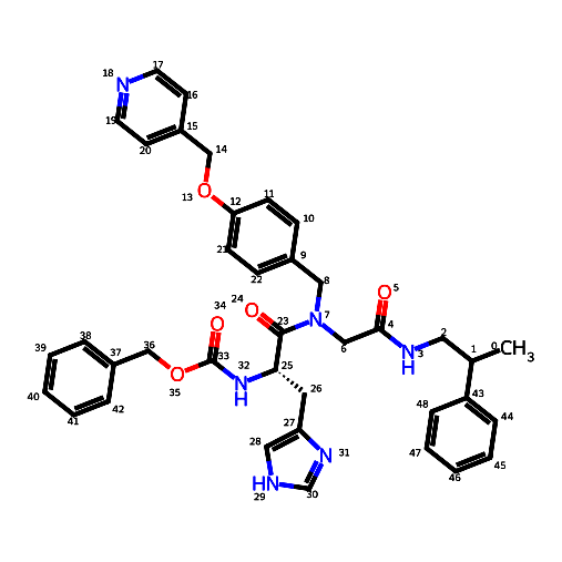 CC(CNC(=O)CN(Cc1ccc(OCc2ccncc2)cc1)C(=O)[C@H](Cc1c[nH]cn1)NC(=O)OCc1ccccc1)c1ccccc1